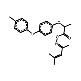 CC(C)=C/C(C)=N/OC(=O)C(C)Oc1ccc(Oc2ccc(I)cc2)cc1